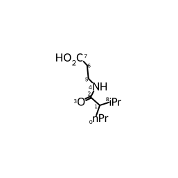 CCCC(C(=O)NCCC(=O)O)C(C)C